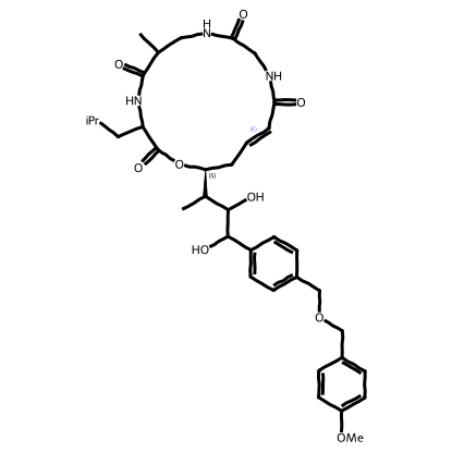 COc1ccc(COCc2ccc(C(O)C(O)C(C)[C@@H]3C/C=C/C(=O)NCC(=O)NCC(C)C(=O)NC(CC(C)C)C(=O)O3)cc2)cc1